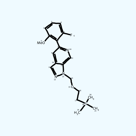 COc1cccc(F)c1-c1cc2cnn(COCCS(C)(C)C)c2cn1